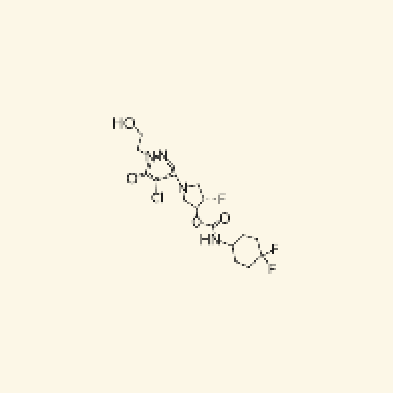 O=C(NC1CCC(F)(F)CC1)O[C@H]1CN(c2cnn(CCO)c(=O)c2Cl)C[C@@H]1F